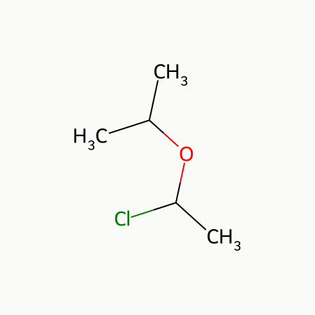 CC(C)OC(C)Cl